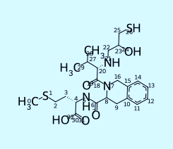 CSCC[C@H](NC(=O)C1Cc2ccccc2CN1C(=O)[C@@H](NCC(O)CS)C(C)C)C(=O)O